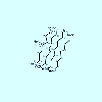 CCCCCCCCCCCCCCCCCC(=O)[O-].CCCCCCCCCCCCCCCCCC(=O)[O-].CCCCCCCCCCCCCCCCCC(=O)[O-].CCCCCCCCCCCCCCCCCC(=O)[O-].[Ca+2].[Pb+2]